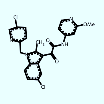 COc1cc(NC(=O)C(=O)c2c(C)n(Cc3ccc(Cl)cn3)c3ccc(Cl)cc23)ccn1